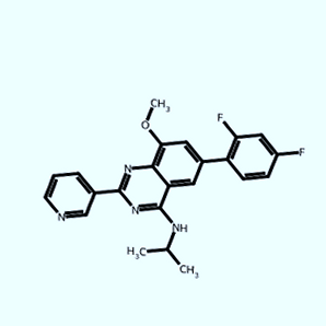 COc1cc(-c2ccc(F)cc2F)cc2c(NC(C)C)nc(-c3cccnc3)nc12